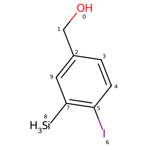 OCc1ccc(I)c([SiH3])c1